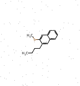 CCCCc1cc2ccccc2[c]c1SC